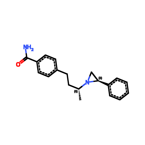 C[C@H](CCc1ccc(C(N)=O)cc1)N1C[C@H]1c1ccccc1